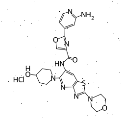 Cl.Nc1cc(-c2nc(C(=O)Nc3cc4sc(N5CCOCC5)nc4nc3N3CCC(O)CC3)co2)ccn1